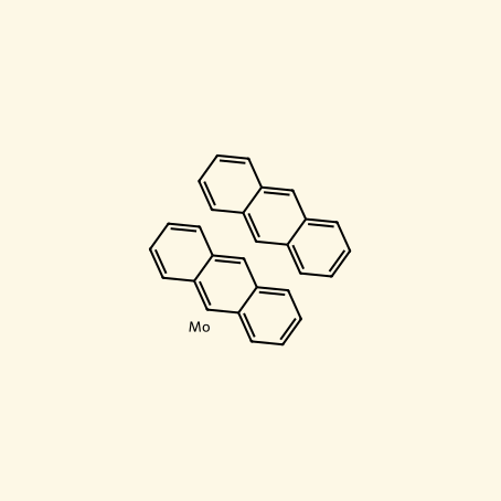 [Mo].c1ccc2cc3ccccc3cc2c1.c1ccc2cc3ccccc3cc2c1